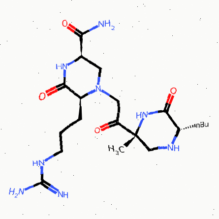 CCCC[C@@H]1NC[C@](C)(C(=O)CN2C[C@H](C(N)=O)NC(=O)[C@@H]2CCCNC(=N)N)NC1=O